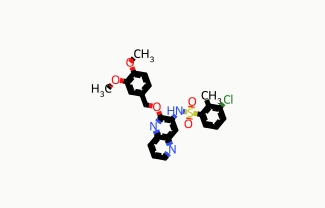 COc1ccc(COc2nc3cccnc3cc2NS(=O)(=O)c2cccc(Cl)c2C)cc1OC